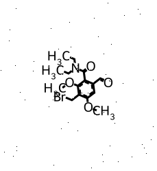 CCN(CC)C(=O)c1c(C=O)cc(OC)c(CBr)c1OC